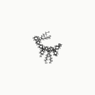 CCCCCCCCC1(CCCCCCCC)c2ccccc2-c2ccc(-c3ccc(N(c4ccc(C)cc4)c4ccc5c(c4)C(CCCCCCCC)(CCCCCCCC)c4cc(N(c6ccc(C)cc6)c6ccc(Br)cc6)ccc4-5)cc3)cc21